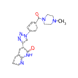 CN1CCN(C(=O)c2ccc(-n3cc(-c4cc5cccnc5[nH]c4=O)nn3)cc2)CC1